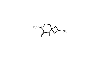 CC1CC2(CCN(C)C(=O)N2)C1